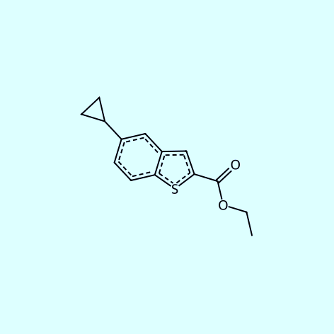 CCOC(=O)c1cc2cc(C3CC3)ccc2s1